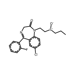 CCC[S+]([O-])CCN1C(=O)CN=C(c2ccccc2F)c2cc(Cl)ccc21